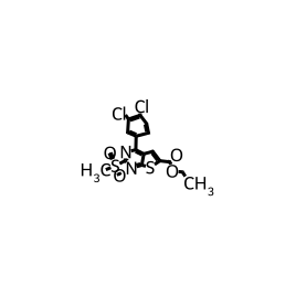 CCOC(=O)c1cc2c(-c3ccc(Cl)c(Cl)c3)nc(S(C)(=O)=O)nc2s1